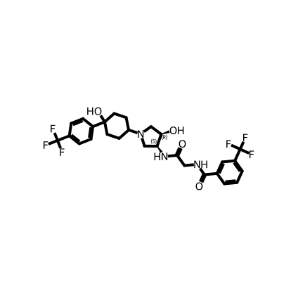 O=C(CNC(=O)c1cccc(C(F)(F)F)c1)N[C@H]1CN(C2CCC(O)(c3ccc(C(F)(F)F)cc3)CC2)C[C@H]1O